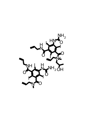 C=CCNC(=O)c1c(I)c(NC(N)=O)c(I)c(C(=O)N(C)CC=C)c1I.C=CCNC(=O)c1c(I)c(NC(N)=O)c(I)c(C(=O)[N+](C)(CC=C)CC(C)O)c1I